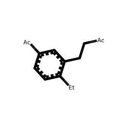 CCc1ccc(C(C)=O)cc1CCC(C)=O